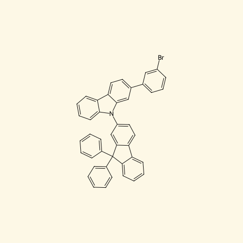 Brc1cccc(-c2ccc3c4ccccc4n(-c4ccc5c(c4)C(c4ccccc4)(c4ccccc4)c4ccccc4-5)c3c2)c1